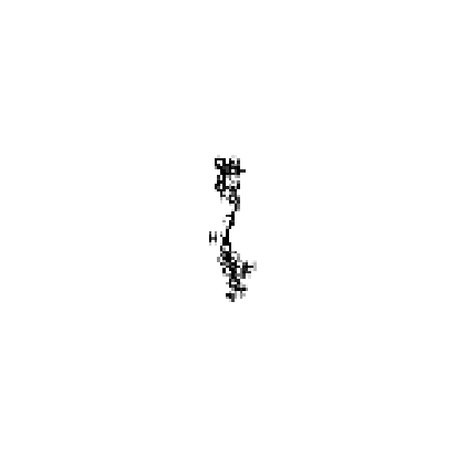 CC(O)(CS(=O)(=O)c1ccc(NCCCOCCCN2CCN(C(=O)c3cc(Cc4n[nH]c(=O)c5ccccc45)ccc3F)CC2)cc1)C(=O)Nc1ccc(C#N)c(C(F)(F)F)c1